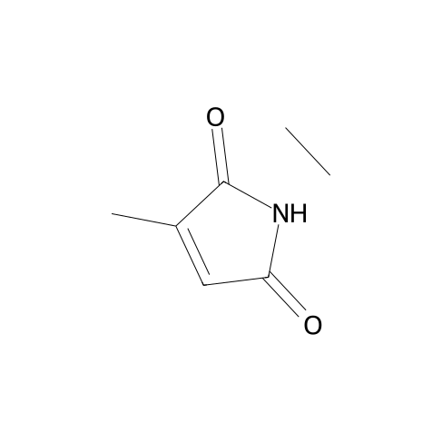 CC.CC1=CC(=O)NC1=O